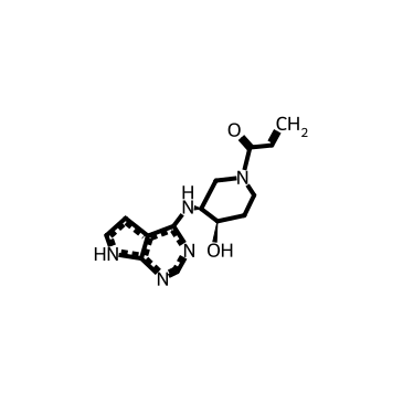 C=CC(=O)N1CC[C@@H](O)[C@@H](Nc2ncnc3[nH]ccc23)C1